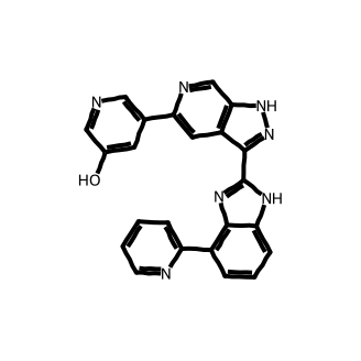 Oc1cncc(-c2cc3c(-c4nc5c(-c6ccccn6)cccc5[nH]4)n[nH]c3cn2)c1